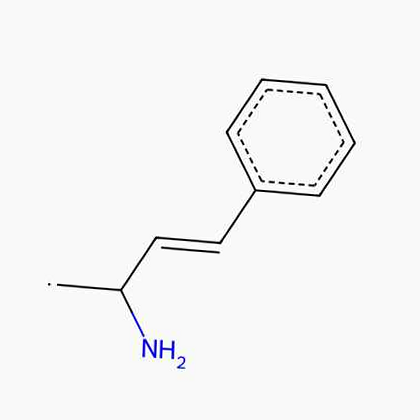 [CH2]C(N)C=Cc1ccccc1